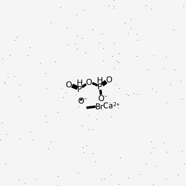 CBr.O=[PH]([O-])O[PH](=O)[O-].[Ca+2]